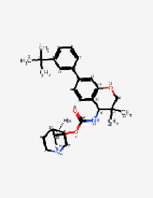 CC(C)(C)c1cccc(-c2ccc3c(c2)OCC(C)(C)C3NC(=O)O[C@H]2CN3CCC2CC3)c1